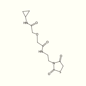 O=C(COCC(=O)NC1CC1)NCCN1C(=O)CSC1=O